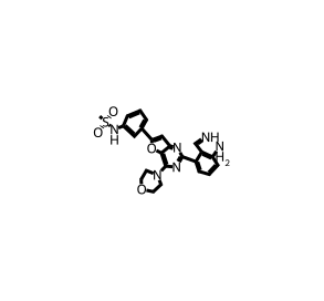 CS(=O)(=O)Nc1cccc(-c2cc3nc(-c4cccc(N)c4C=N)nc(N4CCOCC4)c3o2)c1